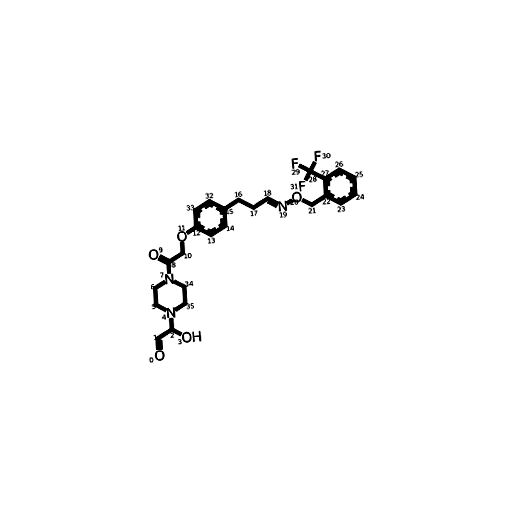 O=CC(O)N1CCN(C(=O)COc2ccc(CCC=NOCc3ccccc3C(F)(F)F)cc2)CC1